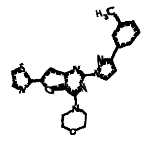 Cc1cccc(-c2ccn(-c3nc(N4CCOCC4)c4oc(-c5nccs5)cc4n3)n2)c1